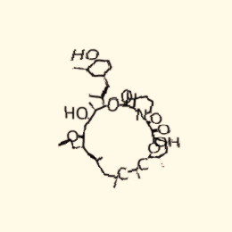 C=CC[C@@H]1/C=C(\C)C[C@H](C)C[C@H](C)CC2O[C@@](O)(C(=O)C(=O)N3CCCC[C@H]3C(=O)O[C@H](/C(C)=C/[C@@H]3CC[C@@H](O)[C@H](C)C3)[C@H](C)[C@@H](O)CC1=O)[C@H](C)C[C@@H]2C